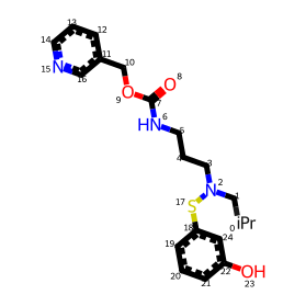 CC(C)CN(CCCNC(=O)OCc1cccnc1)Sc1cccc(O)c1